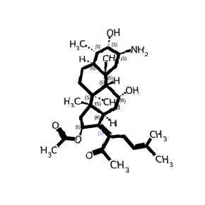 CC(=O)O[C@H]1C[C@@]2(C)[C@@H](C[C@@H](O)[C@H]3[C@@]4(C)C[C@H](N)[C@@H](O)[C@@H](C)[C@@H]4CC[C@@]32C)/C1=C(\CC=C(C)C)C(C)=O